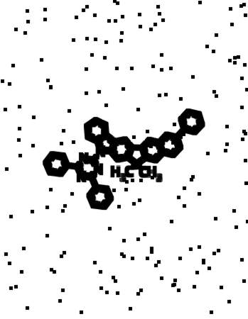 CC1(C)c2cc3ccc(-c4ccccc4)cc3cc2-c2cc3c4ccccc4n(-c4nc(-c5ccccc5)nc(-c5ccccc5)n4)c3cc21